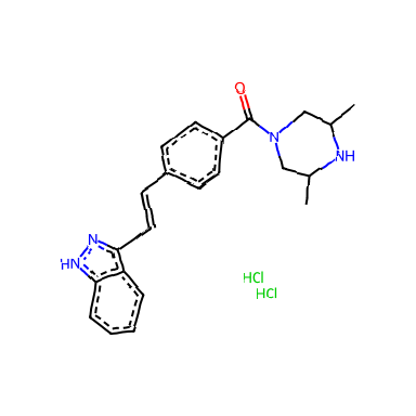 CC1CN(C(=O)c2ccc(C=Cc3n[nH]c4ccccc34)cc2)CC(C)N1.Cl.Cl